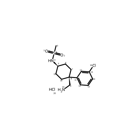 CS(=O)(=O)N[C@H]1CC[C@](CN)(c2cccc(Cl)c2)CC1.Cl